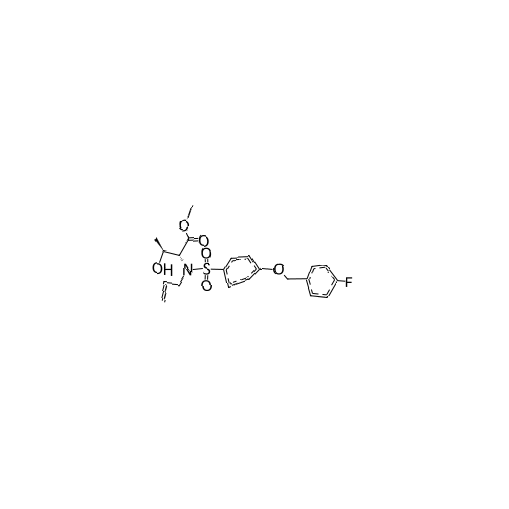 C=CCN([C@@H](C(=O)OC)[C@H](C)O)S(=O)(=O)c1ccc(OCc2ccc(F)cc2)cc1